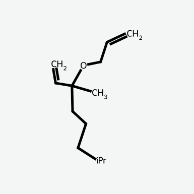 C=CCOC(C)(C=C)CCCC(C)C